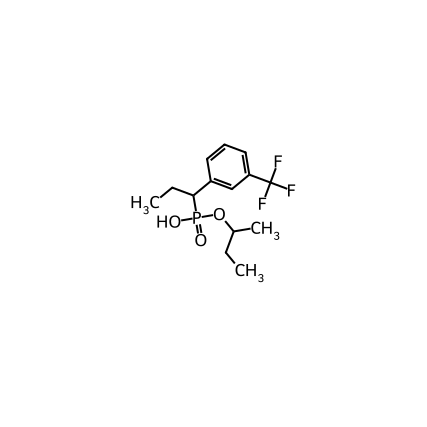 CCC(C)OP(=O)(O)C(CC)c1cccc(C(F)(F)F)c1